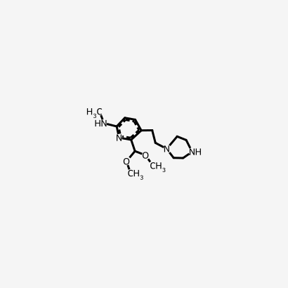 CNc1ccc(CCN2CCNCC2)c(C(OC)OC)n1